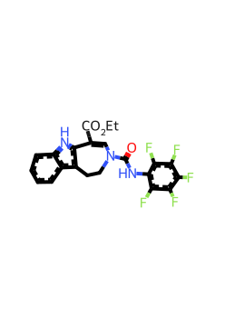 CCOC(=O)C1=CN(C(=O)Nc2c(F)c(F)c(F)c(F)c2F)CCc2c1[nH]c1ccccc21